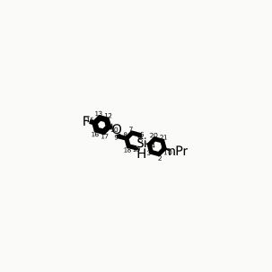 CCC[C@H]1CC[C@H]([SiH]2CCC(COc3ccc(F)cc3)CC2)CC1